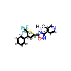 Cc1cnccc1-c1noc(C2=CC(c3ccccc3)C(C(F)(F)F)S2)n1